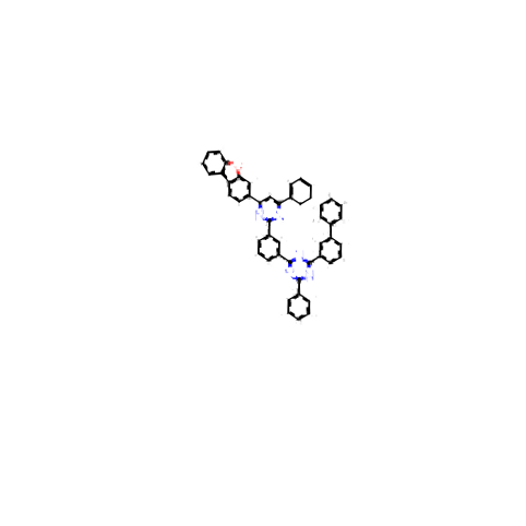 C1=CCCC(c2cc(-c3ccc4c(c3)oc3ccccc34)nc(-c3cccc(-c4nc(-c5ccccc5)nc(-c5cccc(-c6ccccc6)c5)n4)c3)n2)=C1